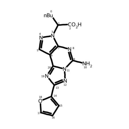 CCCCC(C(=O)O)n1ncc2c1nc(N)n1nc(-c3ccco3)nc21